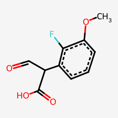 COc1cccc(C(C=O)C(=O)O)c1F